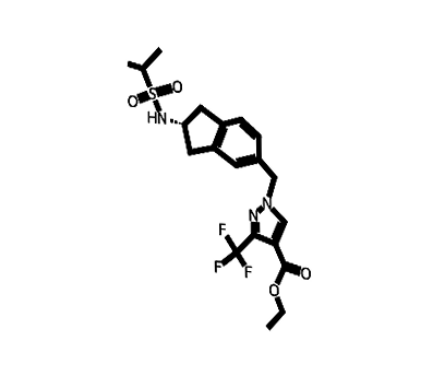 CCOC(=O)c1cn(Cc2ccc3c(c2)C[C@H](NS(=O)(=O)C(C)C)C3)nc1C(F)(F)F